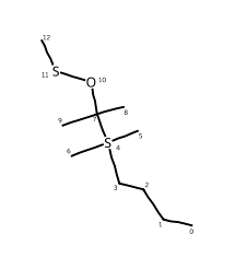 CCCCS(C)(C)C(C)(C)OSC